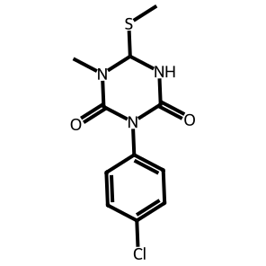 CSC1NC(=O)N(c2ccc(Cl)cc2)C(=O)N1C